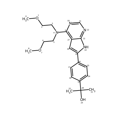 COCCN(CCOC)c1ncnc2[nH]c(-c3ccc(C(C)(C)O)cc3)cc12